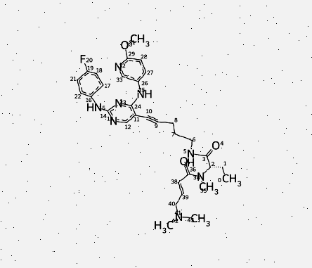 CC[C@@H](C(=O)NCCCC#Cc1cnc(Nc2ccc(F)cc2)nc1Nc1ccc(OC)nc1)N(C)C(=O)/C=C/CN(C)C